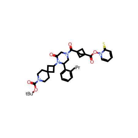 CC(C)c1ccccc1C1CN(C(=O)C23CC(C(=O)On4ccccc4=S)(C2)C3)CC(=O)N1C1CC2(CCN(C(=O)OC(C)(C)C)CC2)C1